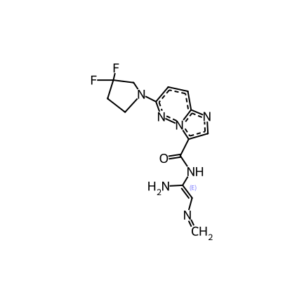 C=N/C=C(\N)NC(=O)c1cnc2ccc(N3CCC(F)(F)C3)nn12